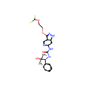 CC(C)(O)[C@@H](NC(=O)Nc1cc2[nH]nc(OCCOC(F)F)c2cn1)c1ccccc1